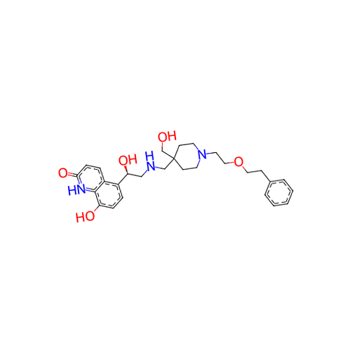 O=c1ccc2c([C@@H](O)CNCC3(CO)CCN(CCOCCc4ccccc4)CC3)ccc(O)c2[nH]1